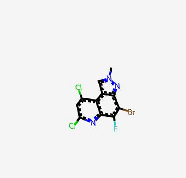 Cn1cc2c(n1)c(Br)c(F)c1nc(Cl)cc(Cl)c12